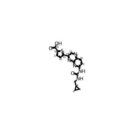 O=C(NCC1CC1)Nc1ccc2ncc(-c3ccc(C(=O)O)s3)nc2n1